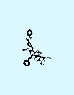 COC(=O)CC(C(=O)OC(C)(C)C)=C(O)C(=O)N(C/C=C/c1ccccc1)C(C)C(Cc1ccc(C(=O)Nc2ccccc2)o1)C(=O)OC(C)(C)C